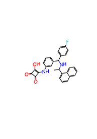 CC(NC(c1ccc(F)cc1)c1cccc(Nc2c(O)c(=O)c2=O)c1)c1cccc2ccccc12